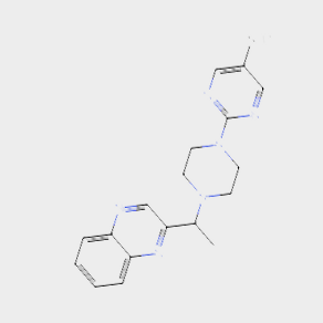 CC(=O)Nc1cnc(N2CCN(C(C)c3cnc4ccccc4n3)CC2)nc1